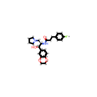 O=C(CCc1ccc(F)cc1)N[C@H](CN1CCCC1)[C@H](O)c1ccc2c(c1)OCCO2